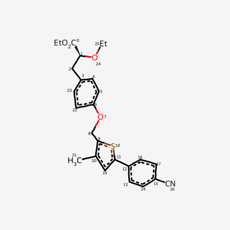 CCOC(=O)[C@H](Cc1ccc(OCc2sc(-c3ccc(C#N)cc3)cc2C)cc1)OCC